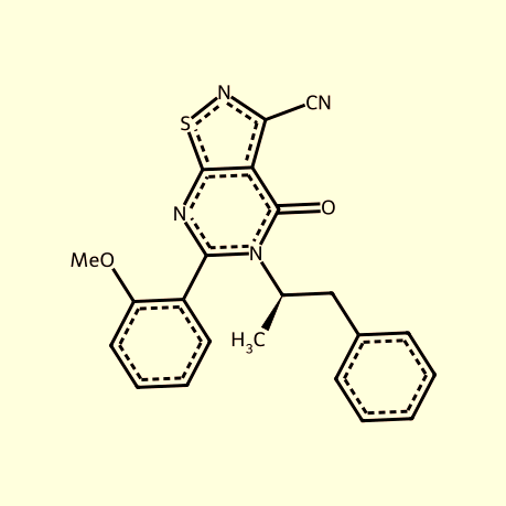 COc1ccccc1-c1nc2snc(C#N)c2c(=O)n1[C@H](C)Cc1ccccc1